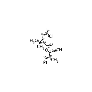 C#CC(OC(=O)[C@@H]1[C@@H](C=C(F)Cl)C1(C)C)C(C)=CCC